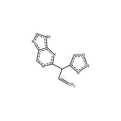 C=CC(c1conn1)c1ncc2nc[nH]c2n1